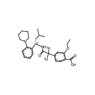 [2H]C([2H])(C(=O)N[C@@H](CC(C)C)c1ccccc1N1CCCCC1)c1ccc(C(=O)O)c(OCC)c1